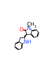 CN1C(=O)C(=C2Cc3ccccc3N2)c2ccccc21